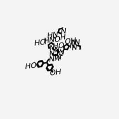 CCc1nnn([C@H]2C[C@@H](n3cnc4c(NCC(c5ccc(O)cc5)c5ccc(O)cc5)nc(N5CC[C@@H](NC(=O)N[C@@H]6CCNC6)C5)nc43)[C@H](O)[C@@H]2O)n1.Cl